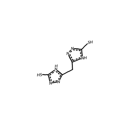 Sc1nnc(Cc2nnc(S)[nH]2)[nH]1